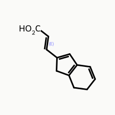 O=C(O)/C=C/C1=CC2=C(CCC=C2)C1